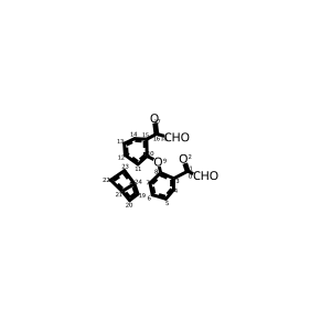 O=CC(=O)c1ccccc1Oc1ccccc1C(=O)C=O.c1cc2ccc1-2